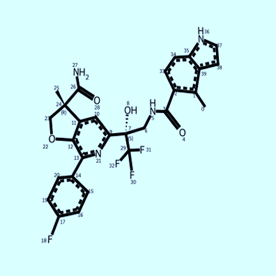 Cc1c(C(=O)NC[C@](O)(c2cc3c(c(-c4ccc(F)cc4)n2)OC[C@]3(C)C(N)=O)C(F)(F)F)ccc2[nH]ccc12